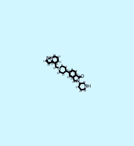 O=C1c2ccc(C3CCN(Cc4cccn5nccc45)CC3)cc2CN1C1CCCNC1